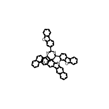 CC1=C(c2ccc3ccccc3c2)N=C(c2ccc3c(c2)oc2ccccc23)N=C(c2ccc3c(oc4ccccc43)c2-n2c3cc4ccccc4cc3c3cc4ccccc4cc32)C1